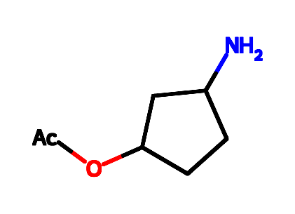 CC(=O)OC1CCC(N)C1